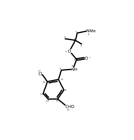 CNCC(C)(C)OC(=O)NCc1cc(C=O)ccc1Cl